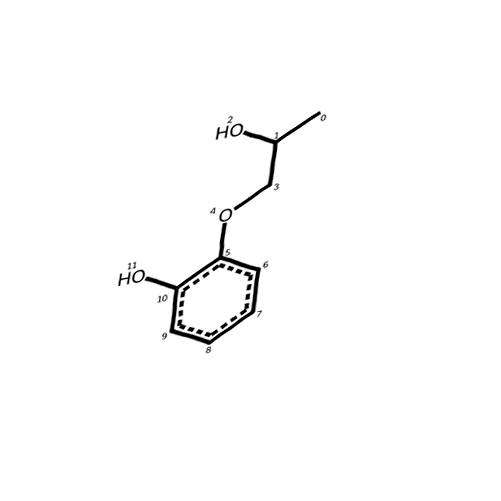 CC(O)COc1ccccc1O